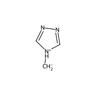 [CH2-][NH+]1C=NN=C1